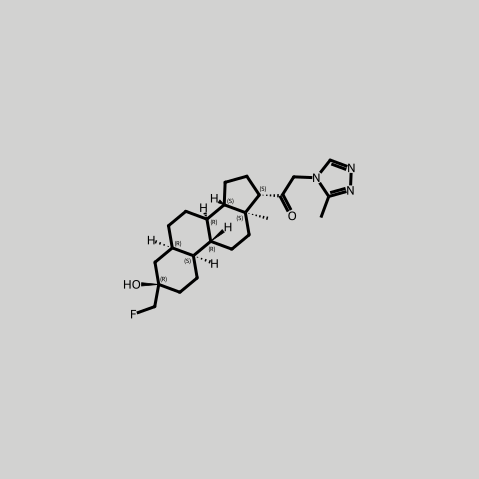 Cc1nncn1CC(=O)[C@H]1CC[C@H]2[C@@H]3CC[C@@H]4C[C@@](O)(CF)CC[C@@H]4[C@H]3CC[C@]12C